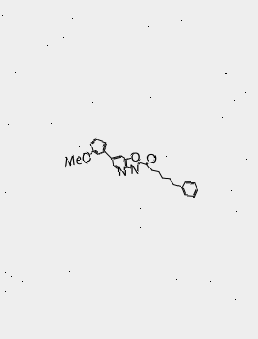 COc1cccc(-c2cnc3nc(C(=O)CCCCCc4ccccc4)oc3c2)c1